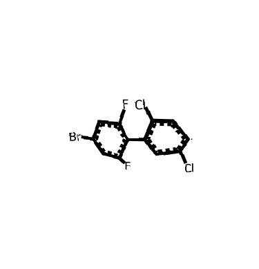 Fc1cc(Br)cc(F)c1-c1cc(Cl)[c]cc1Cl